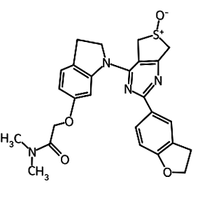 CN(C)C(=O)COc1ccc2c(c1)N(c1nc(-c3ccc4c(c3)CCO4)nc3c1C[S+]([O-])C3)CC2